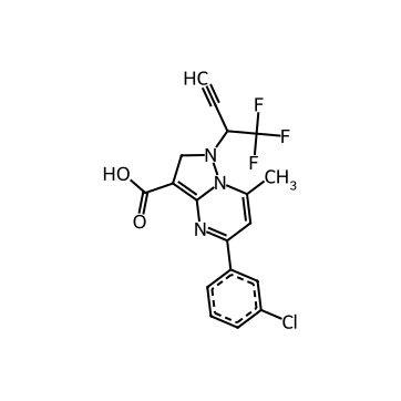 C#CC(N1CC(C(=O)O)=C2N=C(c3cccc(Cl)c3)C=C(C)N21)C(F)(F)F